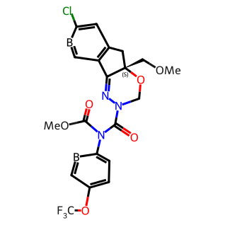 COC[C@]12Cc3cc(Cl)bcc3C1=NN(C(=O)N(C(=O)OC)c1bcc(OC(F)(F)F)cc1)CO2